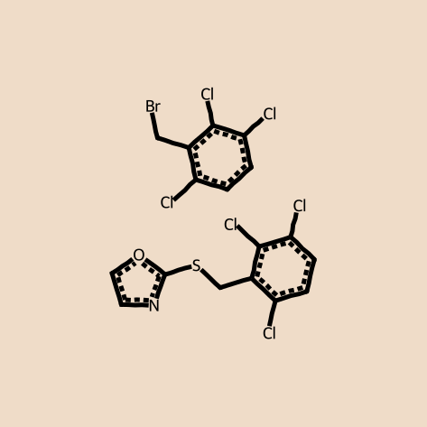 Clc1ccc(Cl)c(CBr)c1Cl.Clc1ccc(Cl)c(CSc2ncco2)c1Cl